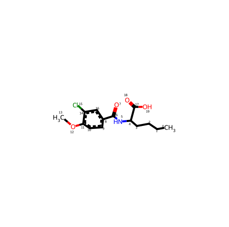 CCCCC(NC(=O)c1ccc(OC)c(Cl)c1)C(=O)O